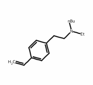 C=Cc1ccc(CCN(CC)CCCC)cc1